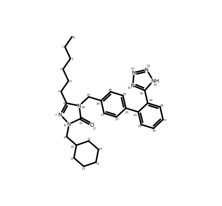 CCCCCCc1nn(CC2CCCCC2)c(=O)n1Cc1ccc(-c2ccccc2-c2nnn[nH]2)cc1